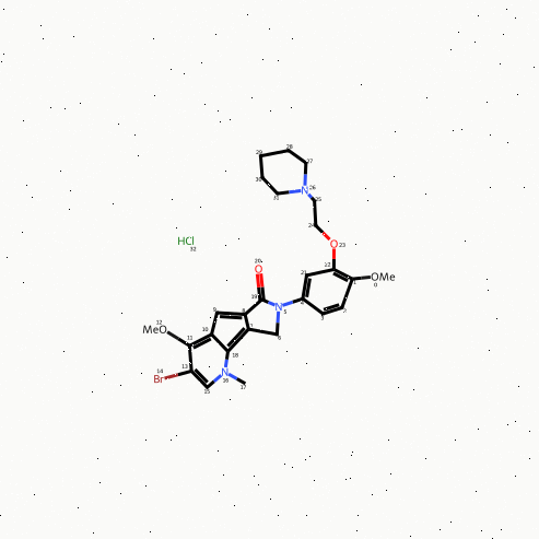 COc1ccc(N2Cc3c(cc4c(OC)c(Br)cn(C)c3-4)C2=O)cc1OCCN1CCCCC1.Cl